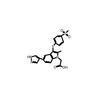 Cc1c(Sc2ccc(S(C)(=O)=O)cc2)c2cc(-c3cn[nH]c3)ccc2n1CC(=O)O